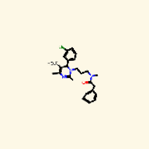 CC1=NC(C)=C(C(=O)O)C(c2cccc(Cl)c2)N1CCCN(C)C(=O)Cc1ccccc1